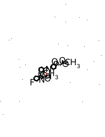 COC(=O)C[C@@H]1COc2cc(NCc3cccc(-n4c(C5CCCO5)nc5cc(F)ccc54)c3C)ccc21